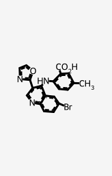 Cc1ccc(Nc2c(-c3ncco3)cnc3ccc(Br)cc23)c(C(=O)O)c1